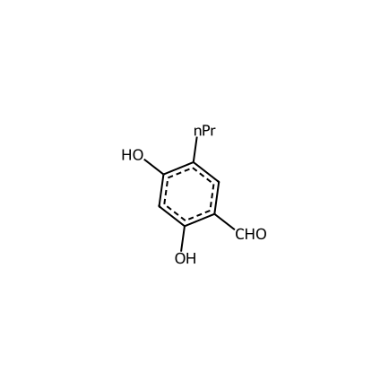 CCCc1cc(C=O)c(O)cc1O